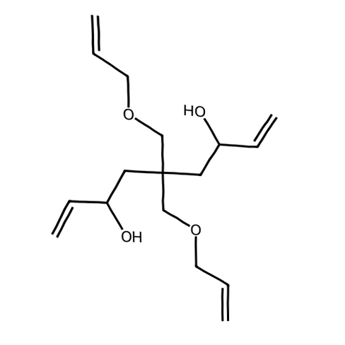 C=CCOCC(COCC=C)(CC(O)C=C)CC(O)C=C